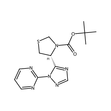 CC(C)(C)OC(=O)N1CSC[C@H]1c1ncnn1-c1ncccn1